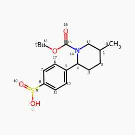 CC1CCC(c2ccc(S(=O)O)cc2)N(C(=O)OC(C)(C)C)C1